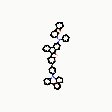 c1ccc(-c2ccccc2N(c2ccccc2)c2ccc(-c3ccc4c(c3)oc3c5ccc(N(c6ccccc6)c6cccc7c6oc6ccccc67)cc5c5ccccc5c43)cc2)cc1